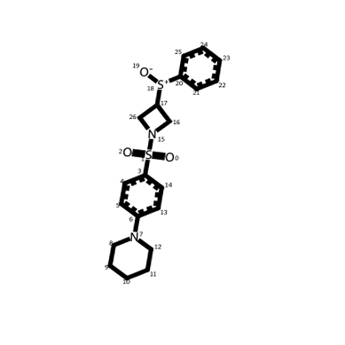 O=S(=O)(c1ccc(N2CCCCC2)cc1)N1CC([S+]([O-])c2ccccc2)C1